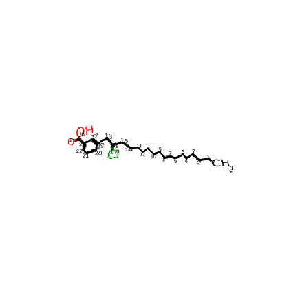 CCCCCCCCCCCCCCCCC(Cl)Cc1cccc(C(=O)O)c1